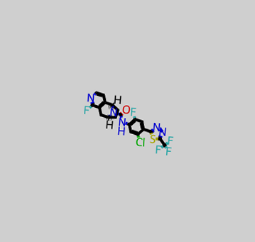 O=C(Nc1cc(Cl)c(-c2nnc(C(F)(F)F)s2)cc1F)N1[C@H]2CC[C@@H]1c1ccnc(F)c1C2